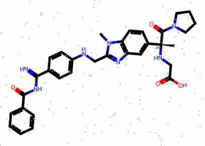 Cn1c(CNc2ccc(C(=N)NC(=O)c3ccccc3)cc2)nc2cc([C@@](C)(NCC(=O)O)C(=O)N3CCCC3)ccc21